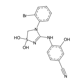 N#Cc1ccc(NC2=NS(O)(O)CN2c2ccccc2Br)c(O)c1